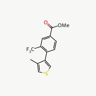 COC(=O)c1ccc(-c2cscc2C)c(C(F)(F)F)c1